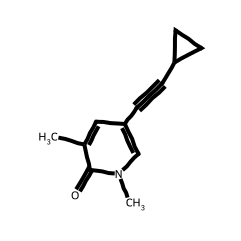 Cc1cc(C#CC2CC2)cn(C)c1=O